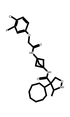 CC1NOCC1(C(=O)NC12CC(NC(=O)COc3ccc(Cl)c(F)c3)(C1)C2)C1CCCCCCC1